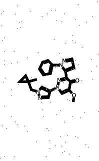 COc1cn(-c2cnn(CC3(C)CC3)c2)nc(-c2ccnn2-c2ccccc2)c1=O